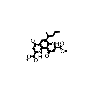 CCCC(C)c1cc2c(=O)cc(C(=O)OC)[nH]c2c2c(=O)cc(C(=O)OC)[nH]c12